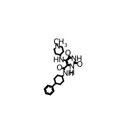 CN1CCC(Nc2c(C(=O)NC3CCC(c4ccccc4)CC3)[nH]c(=O)[nH]c2=O)CC1